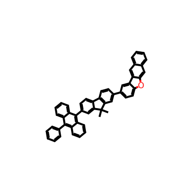 CC1(C)c2cc(-c3ccc4oc5cc6ccccc6cc5c4c3)ccc2-c2ccc(-c3c4ccccc4c(-c4ccccc4)c4ccccc34)cc21